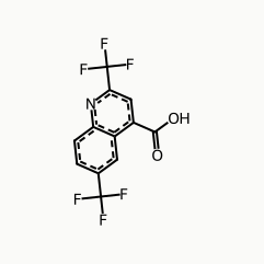 O=C(O)c1cc(C(F)(F)F)nc2ccc(C(F)(F)F)cc12